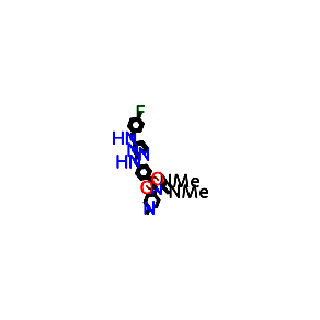 CNCC(NC)N(C1CCN(C)CC1)S(=O)(=O)c1ccc(Nc2nccc(Nc3ccc(F)cc3)n2)cc1